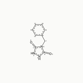 O=c1[nH][nH]c(=O)n1Cc1ccccc1